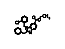 CCOC(=O)c1ccc2nc(Cc3ccccc3)n(Cc3ccccc3Cl)c2c1